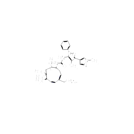 C=C1/C=C\C(COC)=C/C[C@@H](NC(=O)Nc2c(C)c(-c3cnn(C)c3)nn2-c2ccccc2)[C@H](O)CC1(C)C